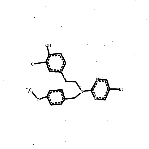 CCc1cnc(N(CCc2ccc(O)c(Cl)c2)Cc2ccc(OC(F)(F)F)cc2)nc1